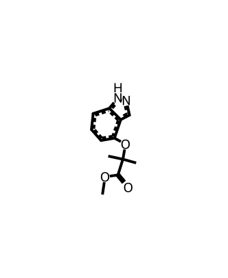 COC(=O)C(C)(C)Oc1cccc2[nH]ncc12